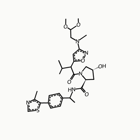 COC(CN(C)c1cc(C(C(=O)N2C[C@H](O)C[C@H]2C(=O)NC(C)c2ccc(-c3scnc3C)cc2)C(C)C)on1)OC